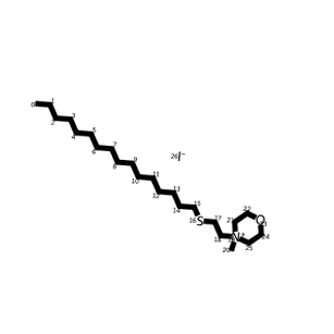 CCCCCCCCCCCCCCCCSCC[N+]1(C)CCOCC1.[I-]